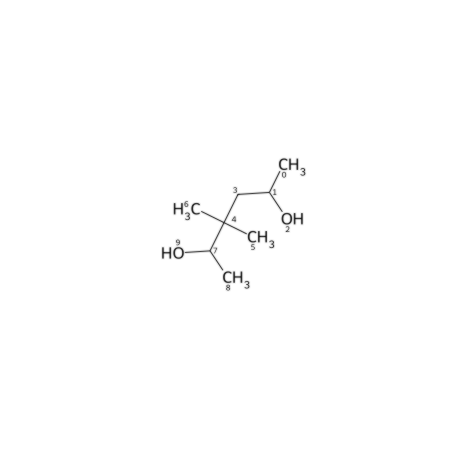 CC(O)CC(C)(C)C(C)O